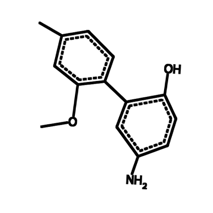 COc1cc(C)ccc1-c1cc(N)ccc1O